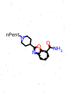 CCCCCN1CCC(c2nc3cccc(C(N)=O)c3o2)CC1